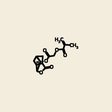 C=C(C)C(=O)OCC(=O)O[C@H]1C2CC3C(=O)OC1C3C2